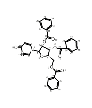 O=C(OC[C@H]1OC(n2ccc(=O)nc2)[C@H](OC(=O)c2ccccc2)[C@@H]1OC(=O)c1ccccc1)c1ccccc1